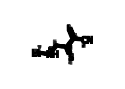 C=C(C#N)C(=S)CNCC